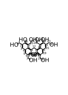 OCc1cc2cc(CO)c(O)c(Cc3c(O)c(CO)cc4cc(CO)c(O)c(CO)c34)c2c(CO)c1O